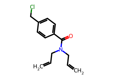 C=CCN(CC=C)C(=O)c1ccc(CCl)cc1